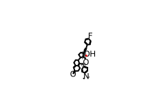 CN(C)c1ccc([C@H]2OC[C@@]3(C)C(CC[C@@]3(O)C#Cc3ccc(F)cc3)C3CCC4=CC(=O)CCC4=C32)cc1